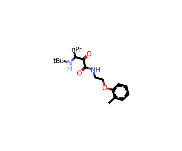 CCCC(NC(C)(C)C)C(=O)C(=O)NCCOc1ccccc1C